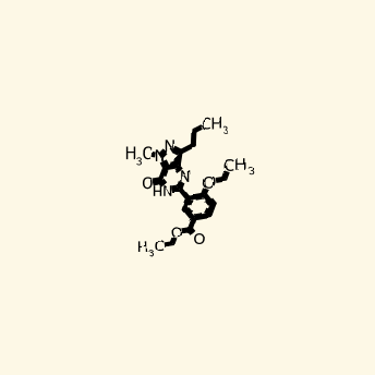 CCCc1nn(C)c2c(=O)[nH]c(-c3cc(C(=O)OCC)ccc3OCC)nc12